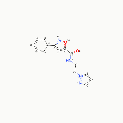 O=C(NCCn1cccn1)c1cc(-c2ccccc2)no1